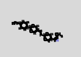 C/C=C\[C@H]1CO[C@H](CCC2COC([C@H]3CC[C@H](CCC)CC3)OC2)OC1